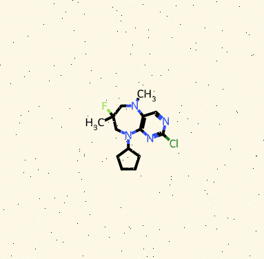 CN1CC(C)(F)CN(C2CCCC2)c2nc(Cl)ncc21